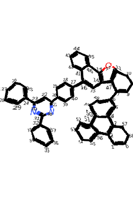 C1=Cc2c(c3cc(C4=CCCc5oc6c(cc(-c7ccc(-c8cc(-c9ccccc9)nc(-c9ccccc9)n8)cc7)c7ccccc76)c54)ccc3c3ccccc23)CC1